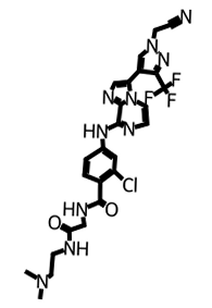 CN(C)CCNC(=O)CNC(=O)c1ccc(Nc2nccn3c(-c4cn(CC#N)nc4C(F)(F)F)cnc23)cc1Cl